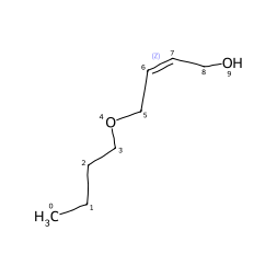 CCCCOC/C=C\CO